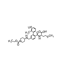 CCOC(=O)N1CCC(NCc2ccc(C(=O)NC(CCSC)C(=O)O)c(-c3ccccc3C)c2)CC1.[LiH]